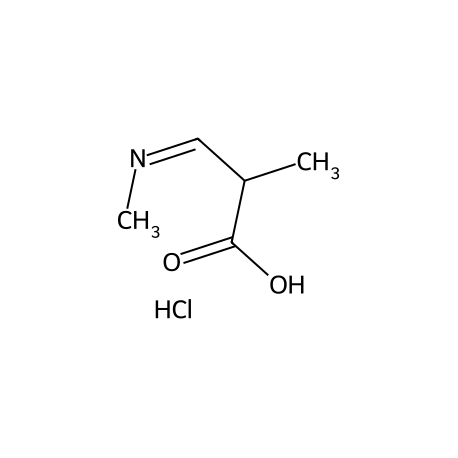 C/N=C\C(C)C(=O)O.Cl